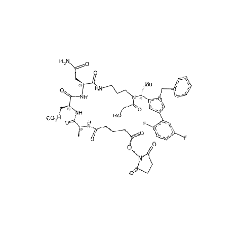 C[C@H](NC(=O)CCCC(=O)ON1C(=O)CCC1=O)C(=O)N[C@@H](CC(=O)O)C(=O)N[C@@H](CC(N)=O)C(=O)NCCCN(C(=O)CO)[C@@H](c1cc(-c2cc(F)ccc2F)cn1Cc1ccccc1)C(C)(C)C